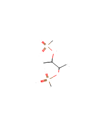 CCC(OS(C)(=O)=O)C(C)OS(C)(=O)=O